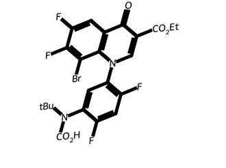 CCOC(=O)c1cn(-c2cc(N(C(=O)O)C(C)(C)C)c(F)cc2F)c2c(Br)c(F)c(F)cc2c1=O